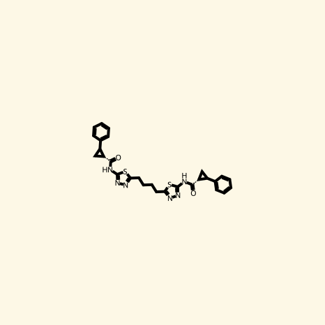 O=C(Nc1nnc(CCCCc2nnc(NC(=O)[C@@H]3CC3c3ccccc3)s2)s1)[C@@H]1CC1c1ccccc1